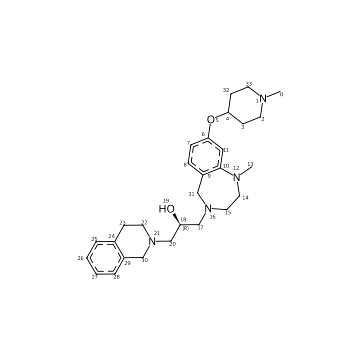 CN1CCC(Oc2ccc3c(c2)N(C)CCN(C[C@H](O)CN2CCc4ccccc4C2)C3)CC1